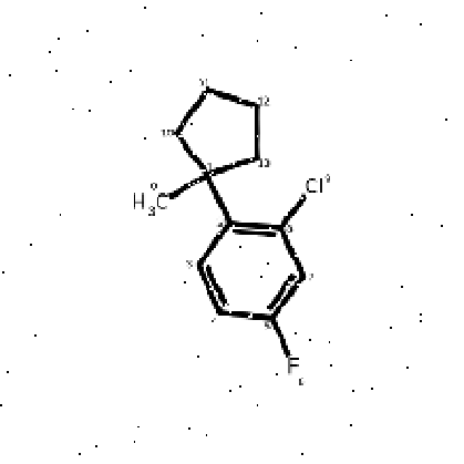 CC1(c2ccc(F)cc2Cl)CCCC1